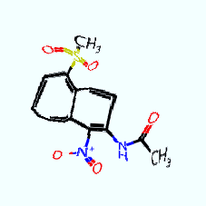 CC(=O)Nc1ccc2c(S(C)(=O)=O)cccc2c1[N+](=O)[O-]